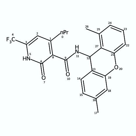 CCCc1cc(C(F)(F)F)[nH]c(=O)c1C(=O)NC1c2ccc(C)cc2Oc2cccc(C)c21